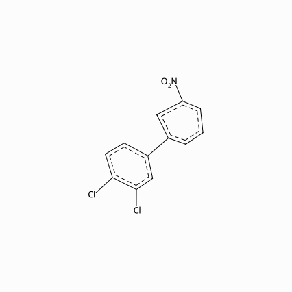 O=[N+]([O-])c1cccc(-c2ccc(Cl)c(Cl)c2)c1